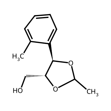 Cc1ccccc1[C@H]1OC(C)O[C@@H]1CO